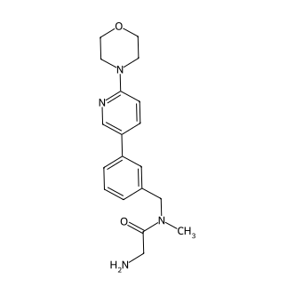 CN(Cc1cccc(-c2ccc(N3CCOCC3)nc2)c1)C(=O)CN